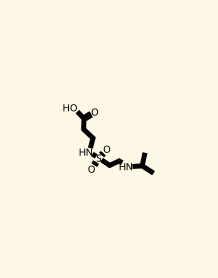 CC(C)NCCS(=O)(=O)NCCC(=O)O